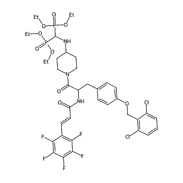 CCOP(=O)(OCC)C(NC1CCN(C(=O)C(Cc2ccc(OCc3c(Cl)cccc3Cl)cc2)NC(=O)/C=C/c2c(F)c(F)c(F)c(F)c2F)CC1)P(=O)(OCC)OCC